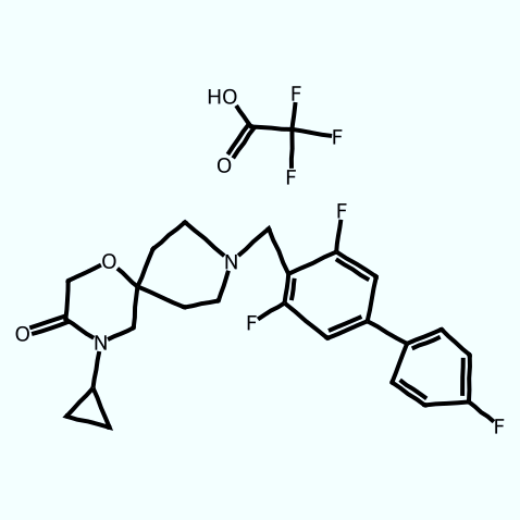 O=C(O)C(F)(F)F.O=C1COC2(CCN(Cc3c(F)cc(-c4ccc(F)cc4)cc3F)CC2)CN1C1CC1